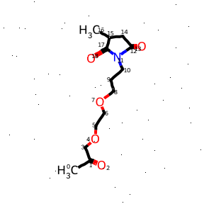 CC(=O)COCCOCCCN1C(=O)CC(C)C1=O